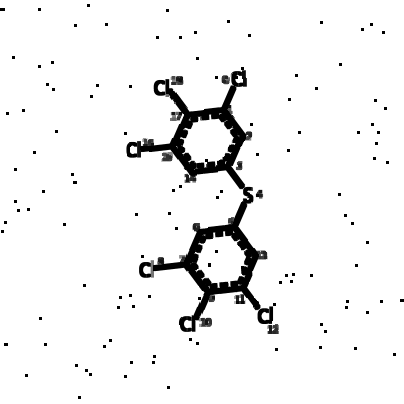 Clc1cc(Sc2cc(Cl)c(Cl)c(Cl)c2)cc(Cl)c1Cl